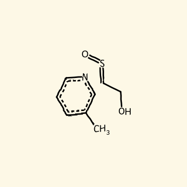 Cc1cccnc1.O=S=CCO